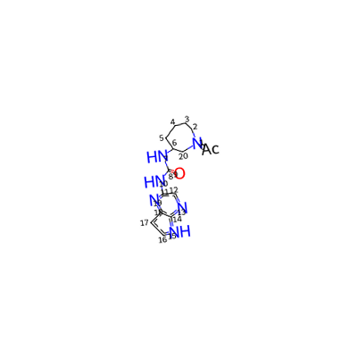 CC(=O)N1CCCCC(NC(=O)Nc2cnc3[nH]ccc3n2)C1